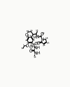 CCOc1cc2c(cc1S(=O)(=O)NC(=O)NC)C(C(C)NC(=O)N1CC=CC1=O)CCO2